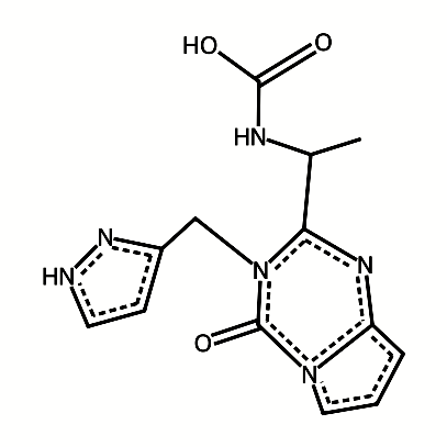 CC(NC(=O)O)c1nc2cccn2c(=O)n1Cc1cc[nH]n1